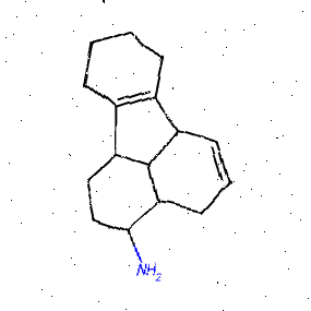 NC1CCC2C3=C(CCCC3)C3C=CCC1C32